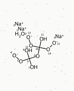 O.[Na+].[Na+].[Na+].[O-]OC(O)(O)OC(O)(O[O-])O[O-]